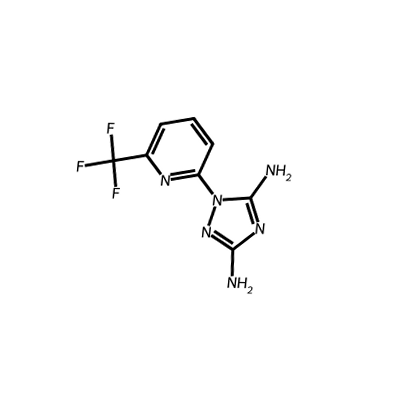 Nc1nc(N)n(-c2cccc(C(F)(F)F)n2)n1